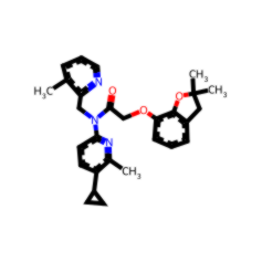 Cc1cccnc1CN(C(=O)COc1cccc2c1OC(C)(C)C2)c1ccc(C2CC2)c(C)n1